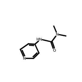 CN(C)C(=O)Nc1ccncc1